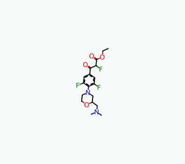 CCOC(=O)C(F)C(=O)c1cc(F)c(N2CCOC(CN(C)C)C2)c(F)c1